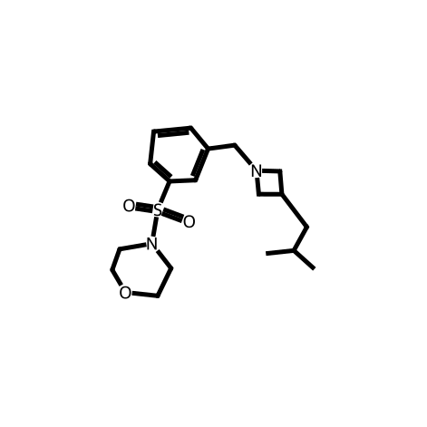 CC(C)CC1CN(Cc2cccc(S(=O)(=O)N3CCOCC3)c2)C1